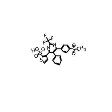 CS(=O)(=O)c1ccc(-c2nc(C(F)(F)F)nc(-c3ccsc3S(=O)(=O)O)c2-c2ccccc2)cc1